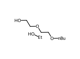 CCO.[CH2]CCCOCCOCCO